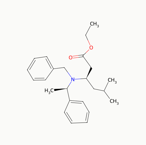 CCOC(=O)C[C@@H](CC(C)C)N(Cc1ccccc1)[C@H](C)c1ccccc1